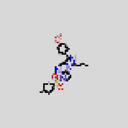 CCCc1nc(-c2ccc(OC)cc2)c2cnc3c(ccn3S(=O)(=O)c3ccc(C)cc3)n12